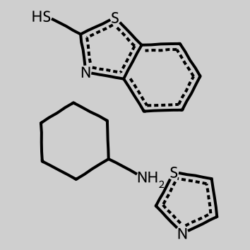 NC1CCCCC1.Sc1nc2ccccc2s1.c1cscn1